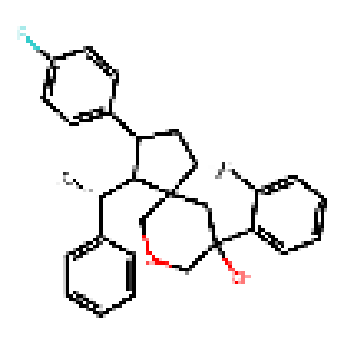 C[C@@H](c1ccccc1)C1C(c2ccc(F)cc2)CCC12COCC(O)(c1ccccc1C(F)(F)F)C2